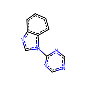 c1ccc2c(c1)ncn2-c1ncncn1